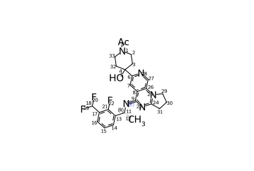 CC(=O)N1CCC(O)(c2cc3/c(=N/[C@H](C)c4cccc(C(F)F)c4F)nc4n(c3cn2)CCC4)CC1